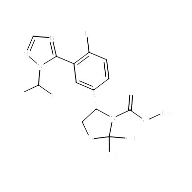 CC(C)(C)OC(=O)N1[C@@H](c2ccc(F)c(-c3ncnn3C(F)F)c2)COC1(C)C